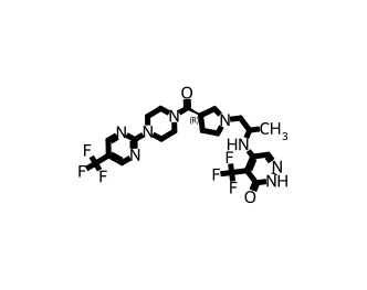 CC(CN1CC[C@@H](C(=O)N2CCN(c3ncc(C(F)(F)F)cn3)CC2)C1)Nc1cn[nH]c(=O)c1C(F)(F)F